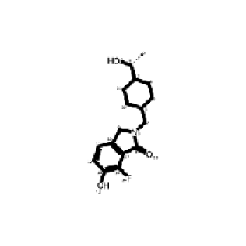 C[C@@H](O)C1CCC(CN2Cc3ccc(O)c(F)c3C2=O)CC1